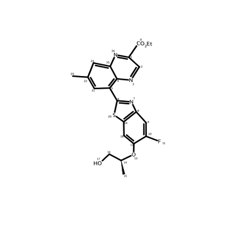 CCOC(=O)c1cnc2c(-c3nc4cc(F)c(O[C@@H](C)CO)cc4s3)cc(C)cc2n1